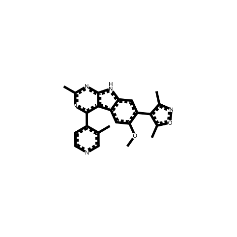 COc1cc2c(cc1-c1c(C)noc1C)[nH]c1nc(C)nc(-c3ccncc3C)c12